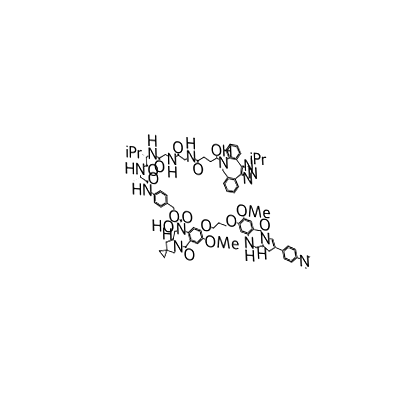 COc1cc2c(cc1OCCCOc1cc3c(cc1OC)C(=O)N1CC4(CC4)C[C@H]1C(O)N3C(=O)OCc1ccc(NC(=O)[C@H](C)NC(=O)[C@@H](NC(=O)CNC(=O)CNC(=O)CCC(O)N3Cc4ccccc4-c4nnn(C(C)C)c4-c4ccccc43)C(C)C)cc1)NC[C@@H]1CC(c3ccc(N(C)C)cc3)=CN1C2=O